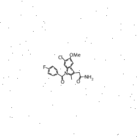 COc1cc2c(CC(N)=O)c(C)n(C(=O)c3ccc(F)cc3)c2cc1Cl